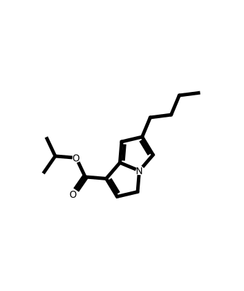 CCCCc1cc2n(c1)CC=C2C(=O)OC(C)C